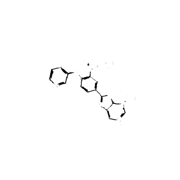 O=[N+]([O-])c1cc(C2=NC3=CN=CN(O)C3S2)ccc1Oc1cccnc1.[KH]